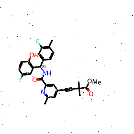 COC(=O)C(C)(C)C#Cc1cc(C)nc(C(=O)N[C@H](c2ccc(C)c(F)c2)c2cc(F)ccc2O)c1